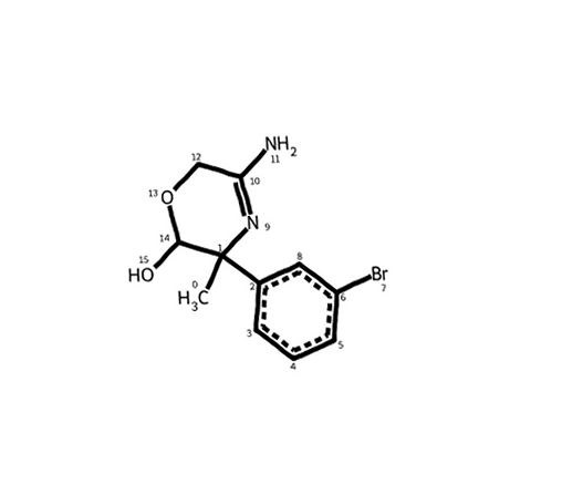 CC1(c2cccc(Br)c2)N=C(N)COC1O